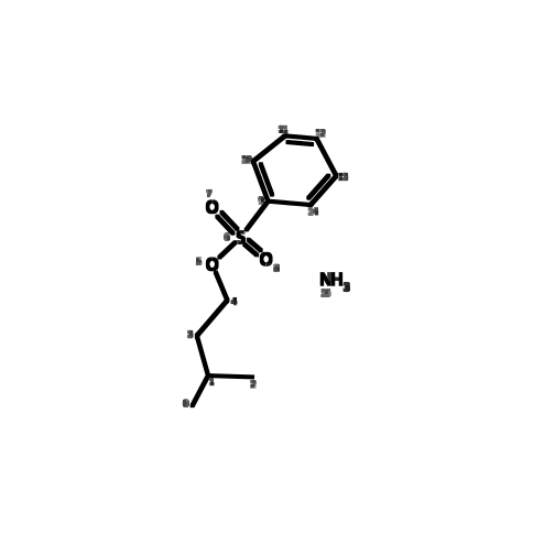 CC(C)CCOS(=O)(=O)c1ccccc1.N